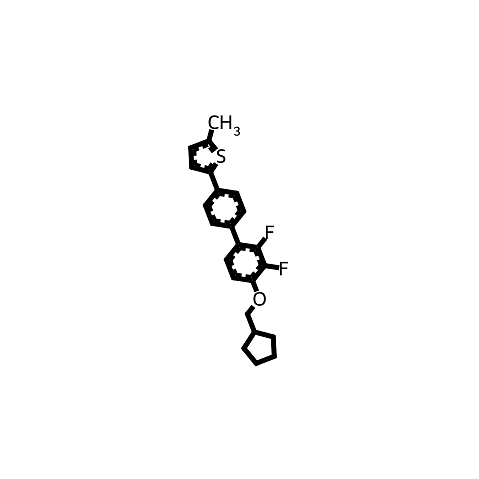 Cc1ccc(-c2ccc(-c3ccc(OCC4CCCC4)c(F)c3F)cc2)s1